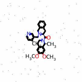 COc1cc2c(cc1OC)[C@@H](C)N(C(=O)[C@@H]1Cc3ccccc3CN1Cc1cnccc1C)CC2